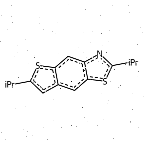 CC(C)c1cc2cc3sc(C(C)C)nc3cc2s1